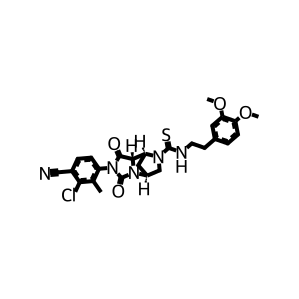 COc1ccc(CCNC(=S)N2C[C@@H]3C[C@H]2[C@H]2C(=O)N(c4ccc(C#N)c(Cl)c4C)C(=O)N32)cc1OC